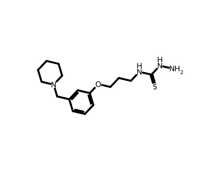 NNC(=S)NCCCOc1cccc(CN2CCCCC2)c1